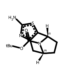 CC(C)(C)OC(=O)N1[C@@H]2CC[C@H]1c1sc(N)nc1C2